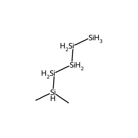 C[SiH](C)[SiH2][SiH2][SiH2][SiH3]